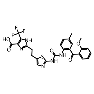 COc1ccccc1C(=O)c1cc(C)ccc1NC(=O)Nc1ncc(CCc2nc(C(=O)O)c(C(F)(F)F)[nH]2)s1